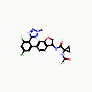 Cn1nnc(-c2c(F)cc(Cl)cc2-c2ccc3c(c2)OCC3NC(=O)C2(NC(=O)C(F)(F)F)CC2)n1